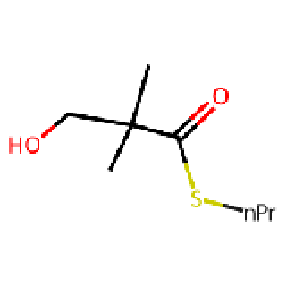 CCCSC(=O)C(C)(C)CO